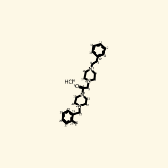 Cl.O=C(CN1CCN(CCc2ccccc2)CC1)N1CCN(Cc2ccccc2F)CC1